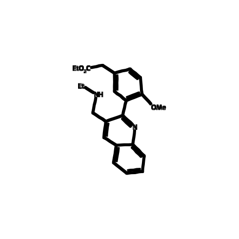 CCNCc1cc2ccccc2nc1-c1cc(CC(=O)OCC)ccc1OC